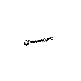 OCC#CCOCCCCOCCCCOC1CCCCO1